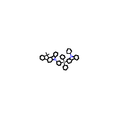 CC1(C)c2ccccc2-c2ccc3c(c21)c1ccccc1n3-c1cccc([Si](c2ccccc2)(c2ccccc2)c2ccc3c4ccccc4n(C4C=CC=CC4)c3c2)c1